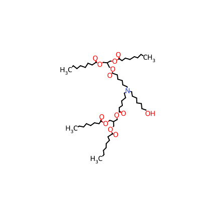 CCCCCCCC(=O)OCC(COC(=O)CCCCCCC)COC(=O)CCCCCN(CCCCCCCO)CCCCCC(=O)OCC(COC(=O)CCCCCCC)COC(=O)CCCCCCC